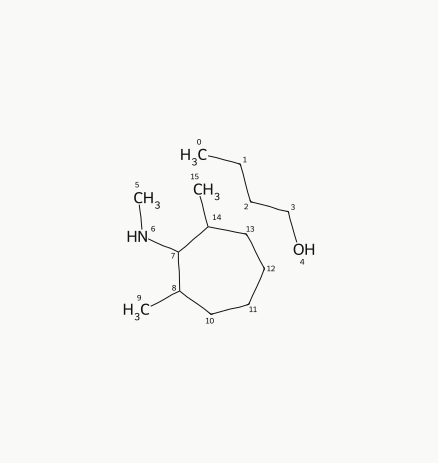 CCCCO.CNC1C(C)CCCCC1C